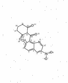 Cc1ccc2cc([N+](=O)[O-])cnc2c1C(=O)C1C(=O)CCCC1=O